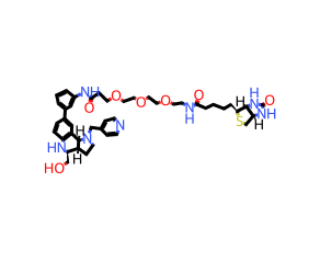 O=C(CCCC[C@@H]1SC[C@@H]2NC(=O)N[C@@H]21)NCCOCCOCCOCCC(=O)Nc1cccc(-c2ccc3c(c2)[C@H]2[C@H](CCN2Cc2ccncc2)[C@@H](CO)N3)c1